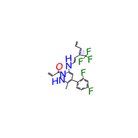 C=C/C=C(\C=CNC1=CC(c2ccc(F)cc2F)=C(C)NN1C(=O)C=C)C(F)(F)F